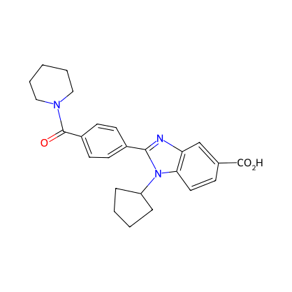 O=C(O)c1ccc2c(c1)nc(-c1ccc(C(=O)N3CCCCC3)cc1)n2C1CCCC1